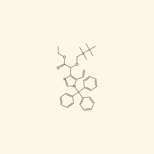 C=Cc1c(C(OC[Si](C)(C)C(C)(C)C)C(=O)OCC)ncn1C(c1ccccc1)(c1ccccc1)c1ccccc1